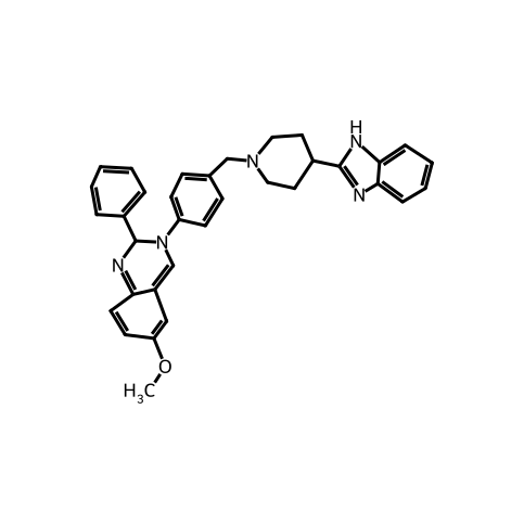 COc1ccc2c(c1)=CN(c1ccc(CN3CCC(c4nc5ccccc5[nH]4)CC3)cc1)C(c1ccccc1)N=2